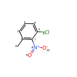 Cc1[c]ccc(Cl)c1[N+](=O)[O-]